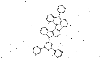 c1ccc(N2c3ccccc3-n3c4c2cccc4c2ccc4c(c5ccccc5n4-c4cc(-c5cccnc5)nc(-c5cccnc5)c4)c23)cc1